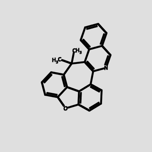 CC1(C)c2c(ncc3ccccc23)-c2cccc3oc4cccc1c4c23